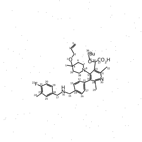 C=CCOC1(C)CCN(c2c(-c3ccc(CNCc4ccc(F)c(C)c4)cc3)c(C)nc(C)c2C(OC(C)(C)C)C(=O)O)CC1